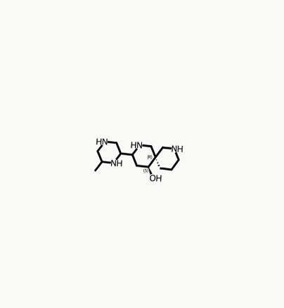 CC1CNCC(C2C[C@H](O)[C@@]3(CCCNC3)CN2)N1